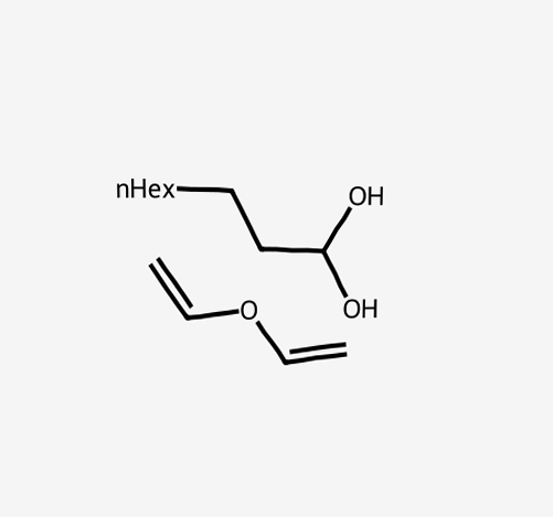 C=COC=C.CCCCCCCCC(O)O